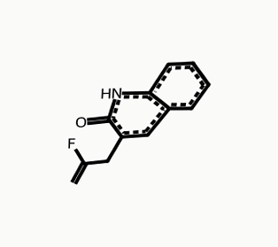 C=C(F)Cc1cc2ccccc2[nH]c1=O